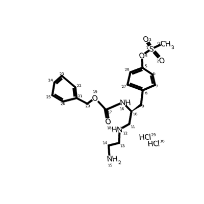 CS(=O)(=O)Oc1ccc(C[C@@H](CNCCN)NC(=O)OCc2ccccc2)cc1.Cl.Cl